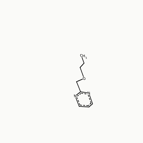 CCCOCc1ncccn1